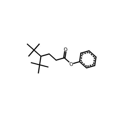 CC(C)(C)C(CCC(=O)Oc1ccccc1)C(C)(C)C